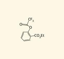 CCOC(=O)c1[c]cccc1OC(=O)C(F)(F)F